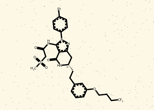 CCc1ccc(-n2nc3c(c2NC(=O)CS(C)(=O)=O)C(=O)N[C@@H](CCc2cccc(OCCCC(F)(F)F)c2)C3)cc1